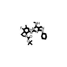 CNc1nc(Nc2cc(C)c(F)c3c2N(C(=O)OC(C)(C)C)CC3)nc2c1cnn2-c1ccccc1